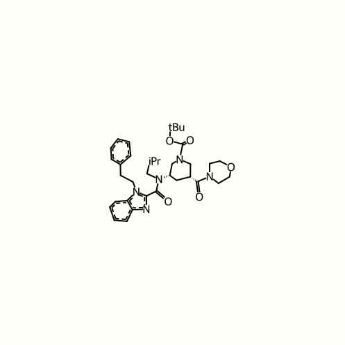 CC(C)CN(C(=O)c1nc2ccccc2n1CCc1ccccc1)[C@H]1C[C@@H](C(=O)N2CCOCC2)CN(C(=O)OC(C)(C)C)C1